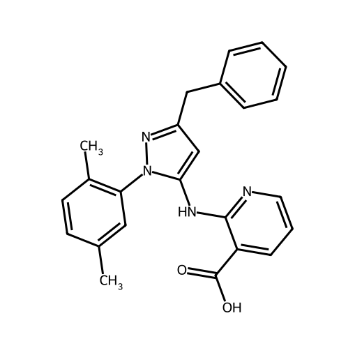 Cc1ccc(C)c(-n2nc(Cc3ccccc3)cc2Nc2ncccc2C(=O)O)c1